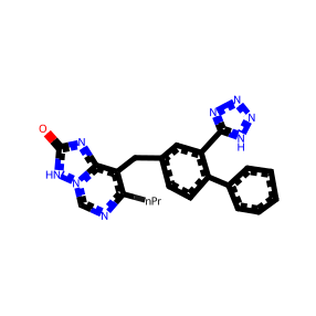 CCCc1ncn2[nH]c(=O)nc2c1Cc1ccc(-c2ccccc2)c(-c2nnn[nH]2)c1